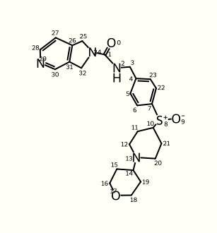 O=C(NCc1ccc([S+]([O-])C2CCN(C3CCOCC3)CC2)cc1)N1Cc2ccncc2C1